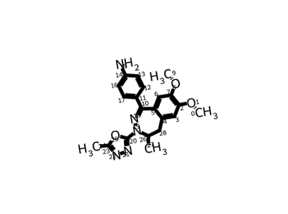 COc1cc2c(cc1OC)C(c1ccc(N)cc1)=NN(c1nnc(C)o1)C(C)C2